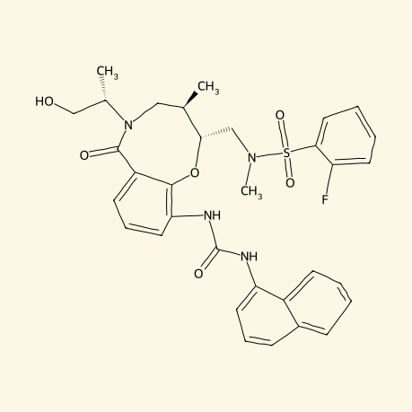 C[C@@H]1CN([C@@H](C)CO)C(=O)c2cccc(NC(=O)Nc3cccc4ccccc34)c2O[C@H]1CN(C)S(=O)(=O)c1ccccc1F